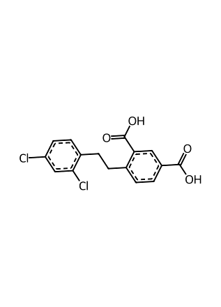 O=C(O)c1ccc(CCc2ccc(Cl)cc2Cl)c(C(=O)O)c1